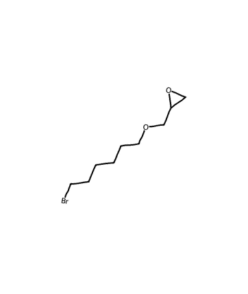 BrCCCCCCOCC1CO1